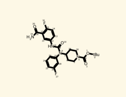 CC(C)(C)OC(=O)N1CCC(N(C(=O)Nc2ccc(F)c(C(N)=O)c2)c2cccc(F)c2)CC1